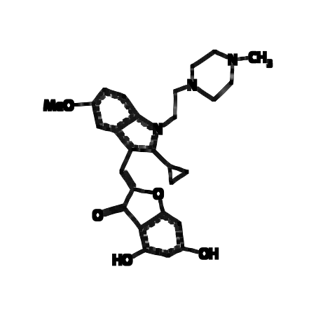 COc1ccc2c(c1)c(/C=C1\Oc3cc(O)cc(O)c3C1=O)c(C1CC1)n2CCN1CCN(C)CC1